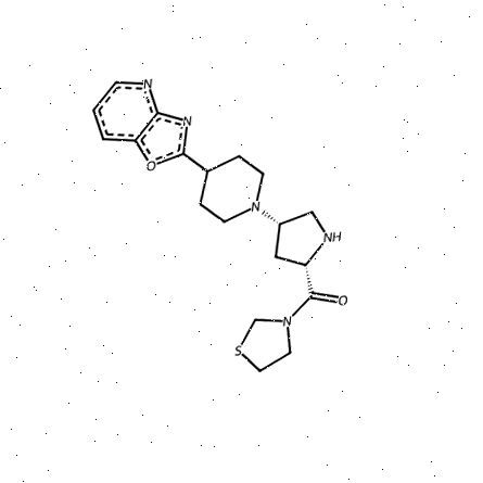 O=C([C@@H]1C[C@H](N2CCC(c3nc4ncccc4o3)CC2)CN1)N1CCSC1